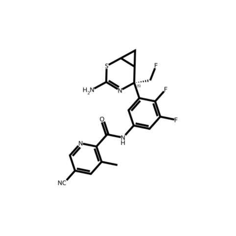 Cc1cc(C#N)cnc1C(=O)Nc1cc(F)c(F)c([C@@]2(CF)N=C(N)SC3CC32)c1